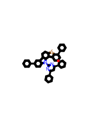 c1ccc(-c2ccc3c(c2)c2ccc4sc5c(-c6ccccc6)cccc5c4c2n3-c2nc(-c3ccccc3)cc(-c3ccccc3)n2)cc1